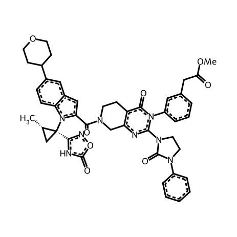 COC(=O)Cc1cccc(-n2c(N3CCN(c4ccccc4)C3=O)nc3c(c2=O)CCN(C(=O)c2cc4cc(C5CCOCC5)ccc4n2[C@@]2(c4noc(=O)[nH]4)C[C@@H]2C)C3)c1